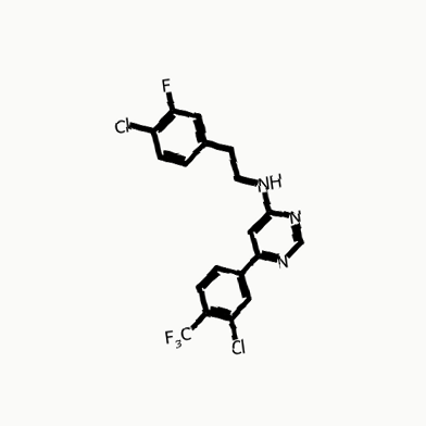 Fc1cc(CCNc2cc(-c3ccc(C(F)(F)F)c(Cl)c3)ncn2)ccc1Cl